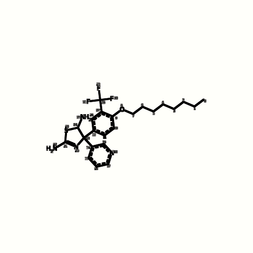 CCCCCCCCOc1ccc(C2(c3cccnc3)N=C(N)SC2N)cc1C(F)(F)F